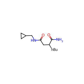 CCCCC(CC(=O)NCC1CC1)C(N)=O